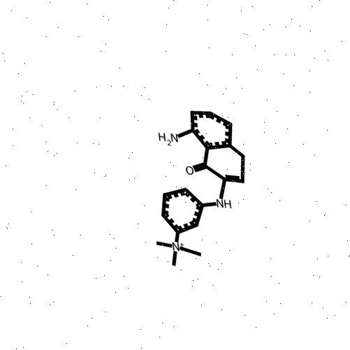 C[N+](C)(C)c1cccc(NC2=CCc3cccc(N)c3C2=O)c1